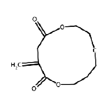 C=C1CC(=O)OCCCCCCOC1=O